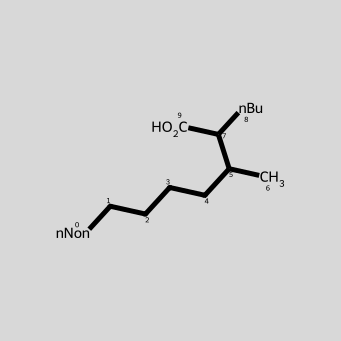 CCCCCCCCCCCCCC(C)C(CCCC)C(=O)O